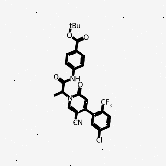 CC(C(=O)Nc1ccc(C(=O)OC(C)(C)C)cc1)n1cc(C#N)c(-c2cc(Cl)ccc2C(F)(F)F)cc1=O